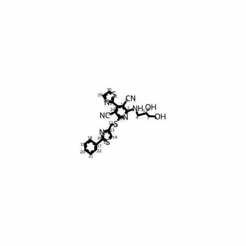 N#Cc1c(NC[C@H](O)CO)nc(SCc2csc(-c3ccccc3)n2)c(C#N)c1-c1nccs1